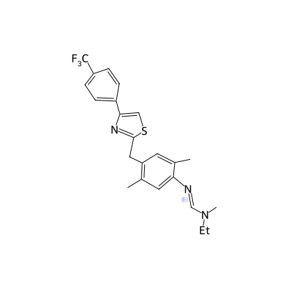 CCN(C)/C=N/c1cc(C)c(Cc2nc(-c3ccc(C(F)(F)F)cc3)cs2)cc1C